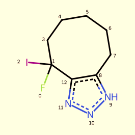 FC1(I)CCCCCc2[nH]nnc21